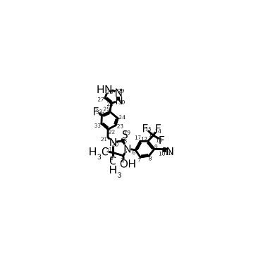 CC1(C)C(O)N(c2ccc(C#N)c(C(F)(F)F)c2)C(=S)N1Cc1ccc(-c2c[nH]nn2)c(F)c1